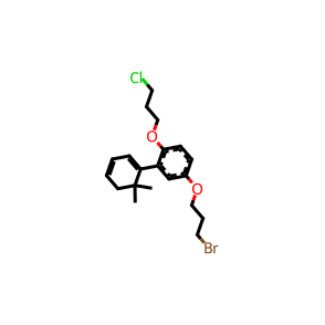 CC1(C)CC=CC=C1c1cc(OCCCBr)ccc1OCCCCl